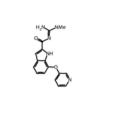 CNC(N)=NC(=O)c1cc2cccc(Oc3cccnc3)c2[nH]1